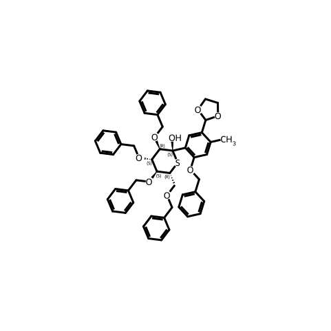 Cc1cc(OCc2ccccc2)c([C@]2(O)S[C@H](COCc3ccccc3)[C@@H](OCc3ccccc3)[C@H](OCc3ccccc3)[C@H]2OCc2ccccc2)cc1C1OCCO1